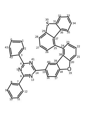 c1ccc(-c2nc(-c3ccccc3)nc(-c3ccc4oc5cccc(-c6cccc7sc8ccccc8c67)c5c4c3)n2)cc1